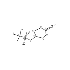 CC(C)(C)S(=O)(=O)CC1CCC(=O)CC1